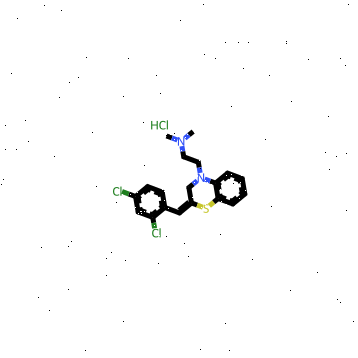 CN(C)CCN1CC(=Cc2ccc(Cl)cc2Cl)Sc2ccccc21.Cl